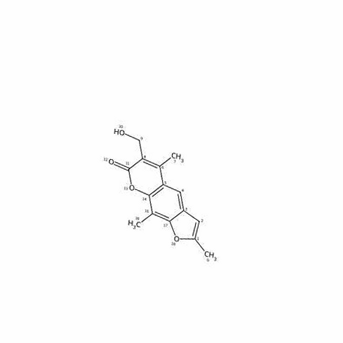 Cc1cc2cc3c(C)c(CO)c(=O)oc3c(C)c2o1